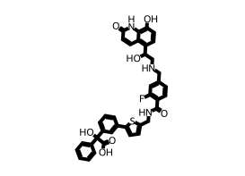 O=C(NCc1ccc(-c2cccc(C(O)(C(=O)O)c3ccccc3)c2)s1)c1ccc(CNCC(O)c2ccc(O)c3[nH]c(=O)ccc23)cc1F